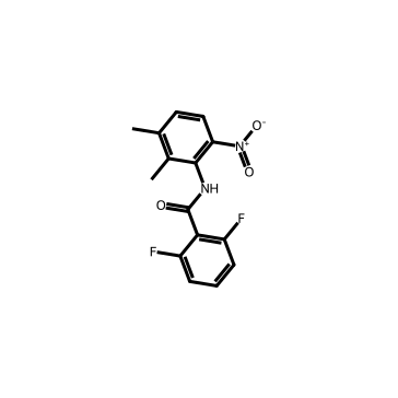 Cc1ccc([N+](=O)[O-])c(NC(=O)c2c(F)cccc2F)c1C